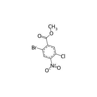 COC(=O)c1cc(Cl)c([N+](=O)[O-])cc1Br